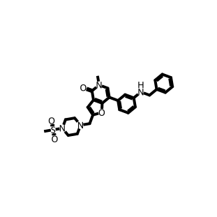 Cn1cc(-c2cccc(NCc3ccccc3)c2)c2oc(CN3CCN(S(C)(=O)=O)CC3)cc2c1=O